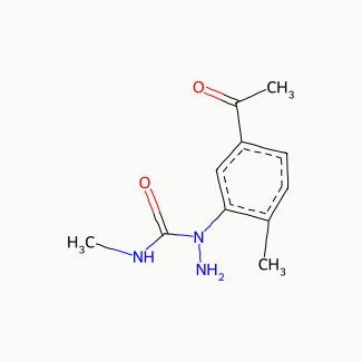 CNC(=O)N(N)c1cc(C(C)=O)ccc1C